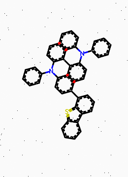 c1ccc(N(c2ccccc2)c2ccccc2-c2ccccc2N(c2ccccc2)c2ccc(-c3cccc4c3sc3ccccc34)cc2)cc1